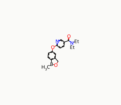 CCN(CC)C(=O)c1ccc(Oc2ccc3c(c2)COB3C)nc1